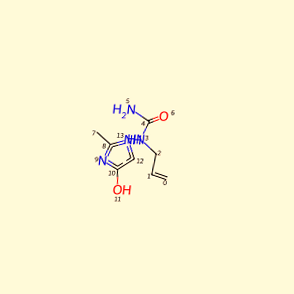 C=CCNC(N)=O.Cc1nc(O)c[nH]1